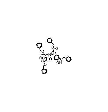 C[C@@](Cc1ccc(O)c(OCc2ccccc2)c1)(NNC(=O)C(O)(CC(=O)OCc1ccccc1)CC(=O)OCc1ccccc1)C(=O)OCc1ccccc1